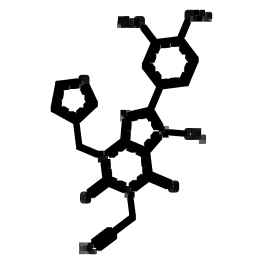 C#CCn1c(=O)c2c(nc(-c3ccc(OC)c(OC)c3)n2C)n(Cc2ccoc2)c1=O